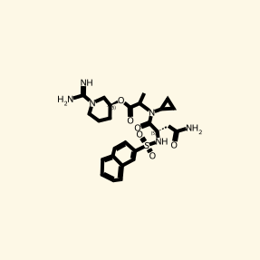 CC(C(=O)O[C@H]1CCCN(C(=N)N)C1)N(C(=O)[C@H](CC(N)=O)NS(=O)(=O)c1ccc2ccccc2c1)C1CC1